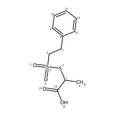 CC(SS(=O)(=O)CCc1ccccc1)C(=O)O